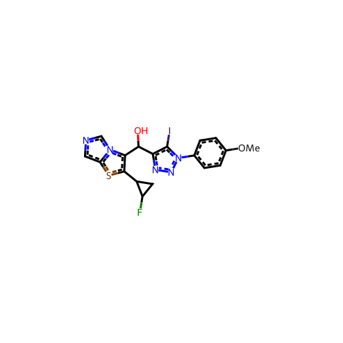 COc1ccc(-n2nnc(C(O)c3c(C4CC4F)sc4cncn34)c2I)cc1